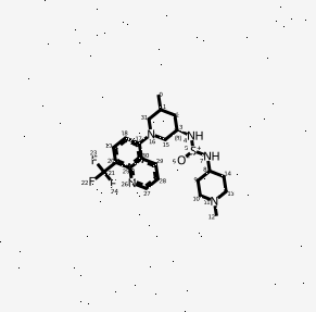 CC1C[C@@H](N[S+]([O-])NC2CCN(C)CC2)CN(c2ccc(C(F)(F)F)c3ncccc23)C1